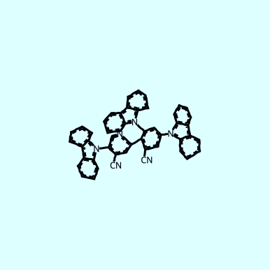 N#Cc1cc(-c2c(C#N)cc(-n3c4ccccc4c4ccccc43)cc2-n2c3ccccc3c3ccccc32)ncc1-n1c2ccccc2c2ccccc21